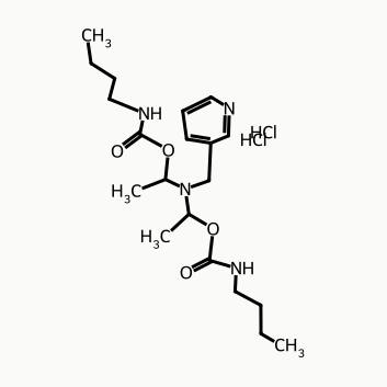 CCCCNC(=O)OC(C)N(Cc1cccnc1)C(C)OC(=O)NCCCC.Cl.Cl